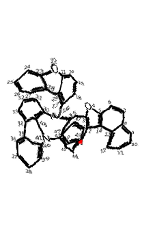 C1=Cc2c(oc3ccc4ccccc4c23)C(N(c2cccc3oc4ccccc4c23)c2cccc3c4ccccc4n(-c4ccccc4)c23)C1